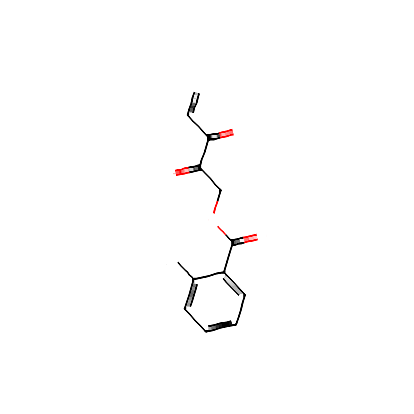 C=CC(=O)C(=O)COC(=O)c1ccccc1C(=O)O